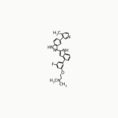 Cc1ccncc1-c1ccc2[nH]nc(-c3cc4c(-c5cc(F)cc(OCCN(C)C)c5)cccc4[nH]3)c2c1